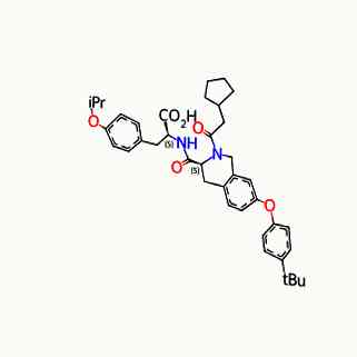 CC(C)Oc1ccc(C[C@H](NC(=O)[C@@H]2Cc3ccc(Oc4ccc(C(C)(C)C)cc4)cc3CN2C(=O)CC2CCCC2)C(=O)O)cc1